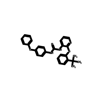 CC(C)(C)c1ccccc1Oc1ncccc1NC(=O)Nc1ccc(Oc2ccccc2)cc1